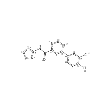 O=C(Nc1ncco1)c1cc(-c2ccc(Cl)c(Cl)c2)ncn1